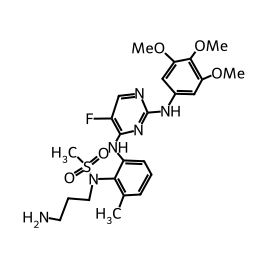 COc1cc(Nc2ncc(F)c(Nc3cccc(C)c3N(CCCN)S(C)(=O)=O)n2)cc(OC)c1OC